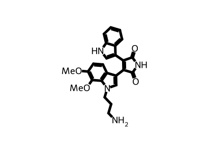 COc1ccc2c(C3=C(c4c[nH]c5ccccc45)C(=O)NC3=O)cn(CCCN)c2c1OC